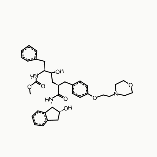 COC(=O)N[C@@H](Cc1ccccc1)[C@@H](O)C[C@@H](Cc1ccc(OCCN2CCOCC2)cc1)C(=O)N[C@H]1c2ccccc2C[C@H]1O